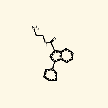 NCCNC(=O)c1cn(-c2ccccc2)c2ccccc12